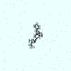 COc1cc(CNC[CH]C(C)(C)C)ccc1OCc1ccccc1